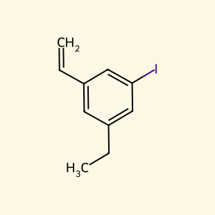 C=Cc1cc(I)cc(CC)c1